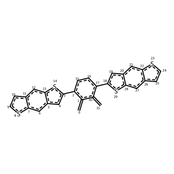 C=c1c(-c2cc3cc4sccc4cc3s2)ccc(-c2cc3cc4sccc4cc3s2)c1=C